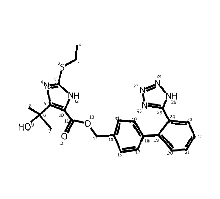 CCSc1nc(C(C)(C)O)c(C(=O)OCc2ccc(-c3ccccc3-c3nnn[nH]3)cc2)[nH]1